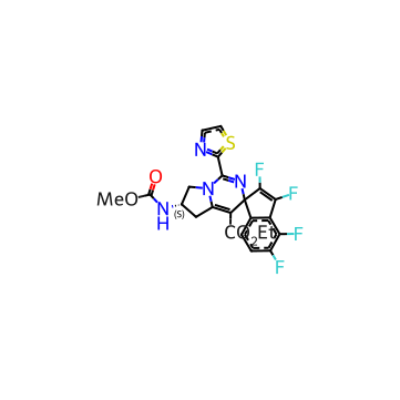 CCOC(=O)C1=C2C[C@H](NC(=O)OC)CN2C(c2nccs2)=NC12C(F)=C(F)c1c2ccc(F)c1F